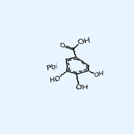 O=C(O)c1cc(O)c(O)c(O)c1.[Pb]